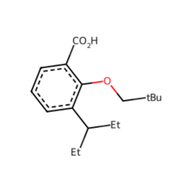 CCC(CC)c1cccc(C(=O)O)c1OCC(C)(C)C